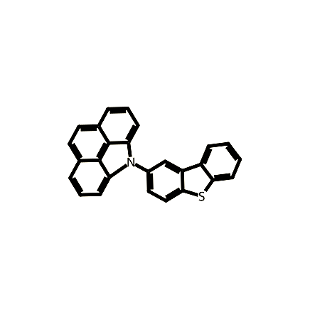 c1ccc2c(c1)sc1ccc(-n3c4cccc5ccc6cccc3c6c54)cc12